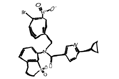 O=C(c1ccc(C2CC2)nc1)N(Cc1ccc(Br)c([N+](=O)[O-])c1)c1cccc2c1S(=O)(=O)CC2